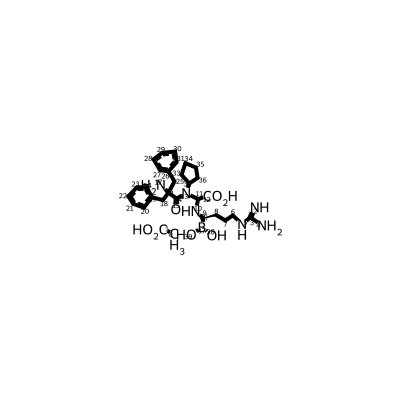 CC(=O)O.N=C(N)NCCC[C@H](NC(C(=O)O)N(C(=O)C(N)(Cc1ccccc1)Cc1ccccc1)C1CCCC1)B(O)O